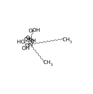 CCCCCCCCCCCCCCCCCC(=O)N(CCCCCCCCCCCC)[C@@H]1O[C@H](CO)[C@H](O)[C@H](O)[C@@H]1NC(=O)CCCC(=O)O